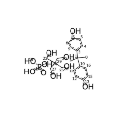 CC(C)(c1ccc(O)cc1)c1ccc(O)cc1.O=P(O)(O)O.OCC(CO)(CO)CO